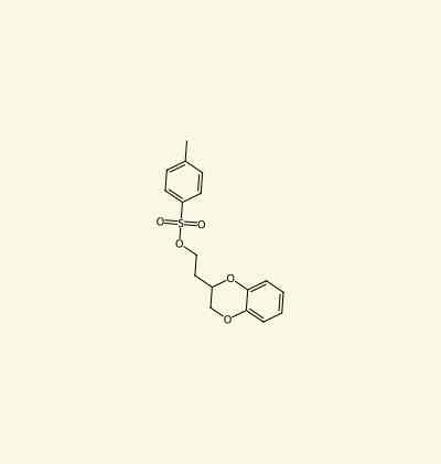 Cc1ccc(S(=O)(=O)OCCC2COc3ccccc3O2)cc1